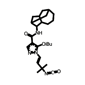 CC(C)COc1c(C(=O)NC2C3CC4CCCC2C(C4)C3)cnn1/C=C/C(C)(C)N=C=O